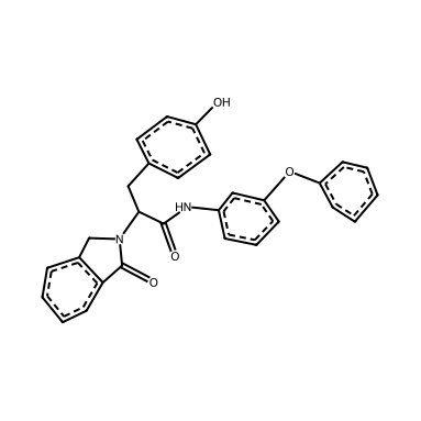 O=C(Nc1cccc(Oc2ccccc2)c1)C(Cc1ccc(O)cc1)N1Cc2ccccc2C1=O